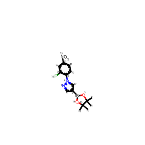 CC1(C)OB(c2cnn(-c3ccc([N+](=O)[O-])cc3F)c2)OC1(C)C